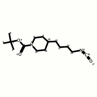 CC(C)(C)OC(=O)N1CCC(CCCCN=C=O)CC1